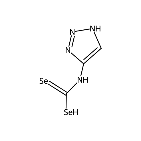 [Se]=C([SeH])Nc1c[nH]nn1